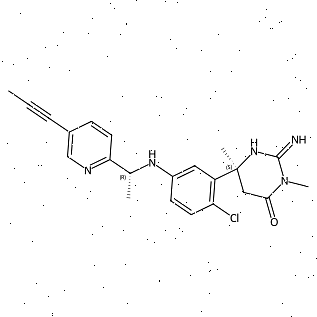 CC#Cc1ccc([C@@H](C)Nc2ccc(Cl)c([C@]3(C)CC(=O)N(C)C(=N)N3)c2)nc1